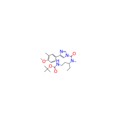 CCC(CCNC(=O)OC(C)(C)C)N(C)C(=O)n1cnc(-c2ccc(OC)c(C)c2)c1